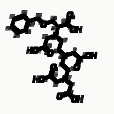 O=C(O)CN(CCN(CC(=O)O)CC(=O)O)CCN(CC(=O)O)[C@@H](COCc1ccccc1)C(=O)O